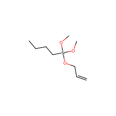 C=CCO[Si](CCCC)(OC)OC